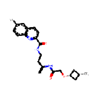 C=C(CCNC(=O)c1ccc2cc(C(F)(F)F)ccc2n1)NC(=O)CO[C@H]1C[C@@H](C(F)(F)F)C1